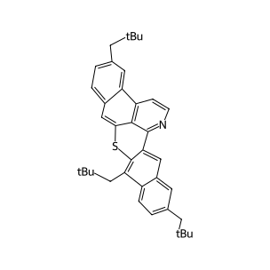 CC(C)(C)Cc1ccc2c(CC(C)(C)C)c3c(cc2c1)-c1nccc2c1c(cc1ccc(CC(C)(C)C)cc12)S3